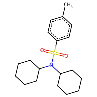 Cc1ccc(S(=O)(=O)N(C2CCCCC2)C2CCCCC2)cc1